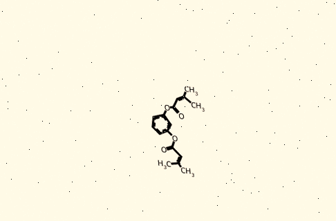 CC(C)=CC(=O)Oc1cccc(OC(=O)C=C(C)C)c1